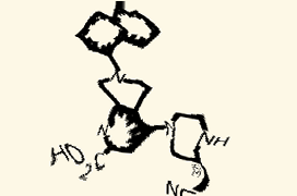 N#CC[C@H]1CN(c2cc(C(=O)O)nc3c2CCN(c2cccc4ccccc24)C3)CCN1